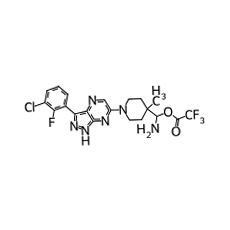 CC1(C(N)OC(=O)C(F)(F)F)CCN(c2cnc3c(-c4cccc(Cl)c4F)n[nH]c3n2)CC1